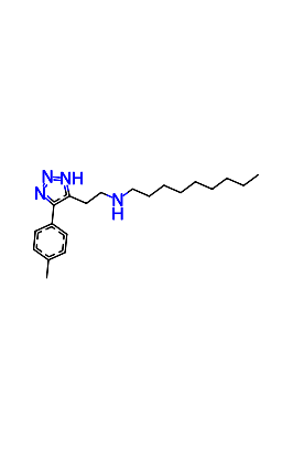 CCCCCCCCCNCCc1[nH]nnc1-c1ccc(C)cc1